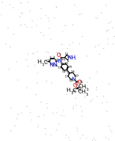 Cc1ccc(N(C(=O)C2CNC2)c2ccc(C3CCN(C(=O)OC(C)(C)C)CC3)cc2)nn1